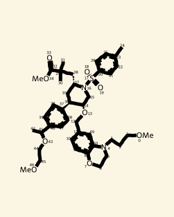 COCCCN1CCOc2ccc(CO[C@H]3CN(S(=O)(=O)c4ccc(C)cc4)[C@@H](CC(C)(C)C(=O)OC)C[C@@H]3c3ccc(C(C)OCCOC)cc3)cc21